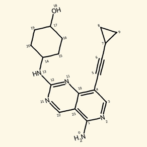 Nc1ncc(C#CC2CC2)c2nc(NC3CCC(O)CC3)ncc12